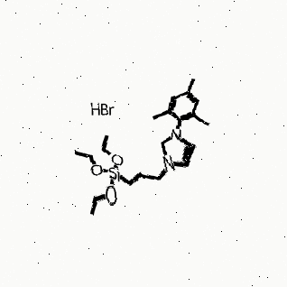 Br.CCO[Si](CCCN1C=CN(c2c(C)cc(C)cc2C)C1)(OCC)OCC